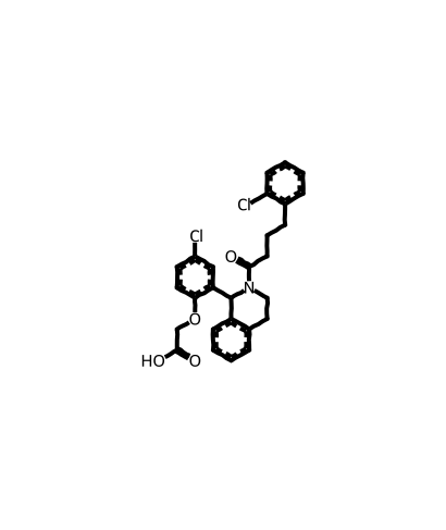 O=C(O)COc1ccc(Cl)cc1C1c2ccccc2CCN1C(=O)CCCc1ccccc1Cl